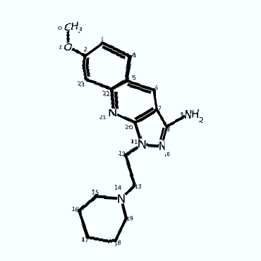 COc1ccc2cc3c(N)nn(CCN4CCCCC4)c3nc2c1